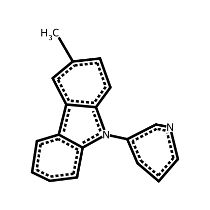 Cc1ccc2c(c1)c1ccccc1n2-c1cccnc1